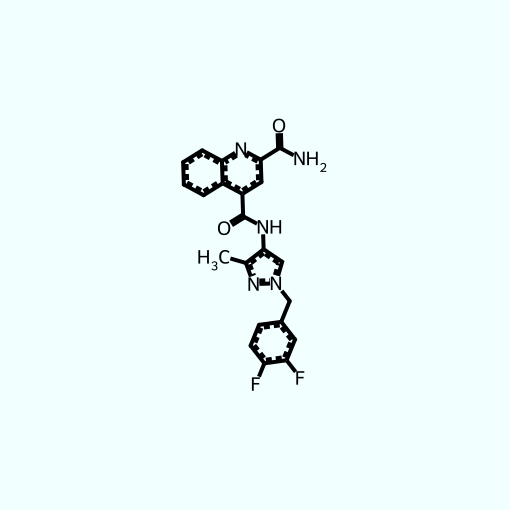 Cc1nn(Cc2ccc(F)c(F)c2)cc1NC(=O)c1cc(C(N)=O)nc2ccccc12